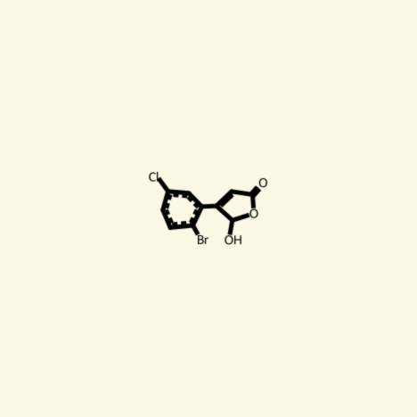 O=C1C=C(c2cc(Cl)ccc2Br)C(O)O1